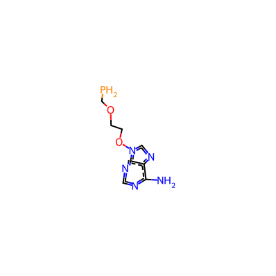 Nc1ncnc2c1ncn2OCCOCP